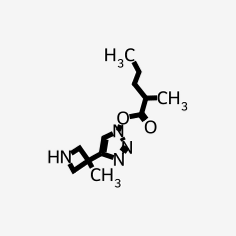 CCCC(C)C(=O)On1cc(C2(C)CNC2)nn1